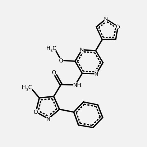 COc1nc(-c2cnoc2)cnc1NC(=O)c1c(-c2ccccc2)noc1C